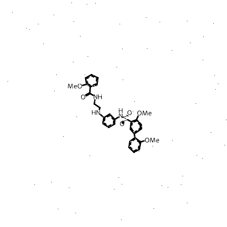 COc1ccccc1C(=O)NCCNc1cccc(NS(=O)(=O)c2cc(-c3ccccc3OC)ccc2OC)c1